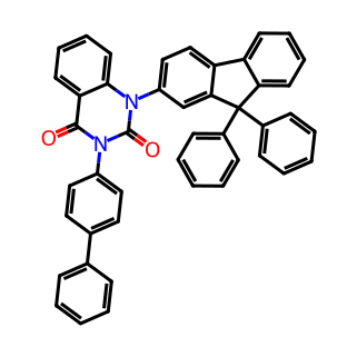 O=c1c2ccccc2n(-c2ccc3c(c2)C(c2ccccc2)(c2ccccc2)c2ccccc2-3)c(=O)n1-c1ccc(-c2ccccc2)cc1